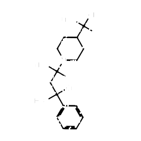 CC(C)(CC(C)(C)N1CCC(C(C)(C)C)CC1)c1ccccc1